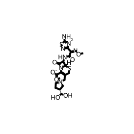 CO/N=C(\C(=O)NC1C(=O)N2C(C(=O)[O-])=C(C[N+]3(C)CC[C@@H](C(O)O)C3)CS[C@@H]12)c1nsc(N)n1